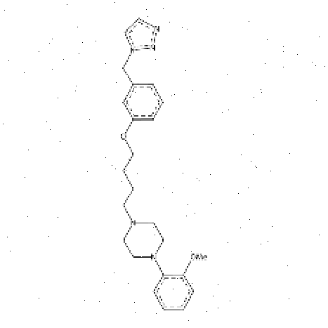 COc1ccccc1N1CCN(CCCCOc2cccc(Cn3ccnn3)c2)CC1